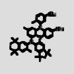 Cc1cc2c3c(c1)N(c1cc4c(cc1C)C(C)(C)CCC4(C)C)c1cc4c(cc1B3c1ccc(C(C)(C)C)cc1N2c1cc(C(C)(C)C)ccc1C)C(C)(C)CC4(C)C